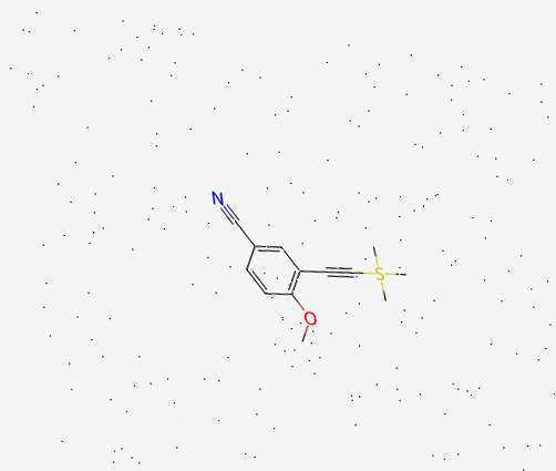 COc1ccc(C#N)cc1C#CS(C)(C)C